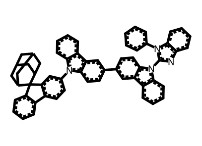 c1ccc(-n2c(-n3c4ccccc4c4cc(-c5ccc6c(c5)c5ccccc5n6-c5ccc6c(c5)C5(c7ccccc7-6)C6CC7CC(C6)CC5C7)ccc43)nc3ccccc32)cc1